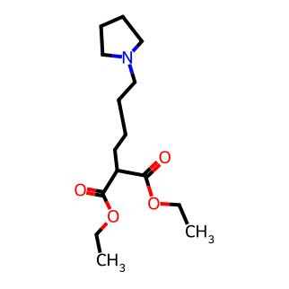 CCOC(=O)C(CCCCN1CCCC1)C(=O)OCC